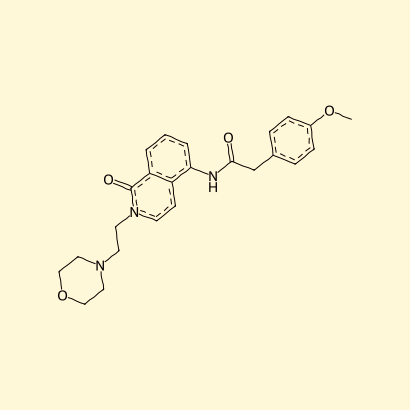 COc1ccc(CC(=O)Nc2cccc3c(=O)n(CCN4CCOCC4)ccc23)cc1